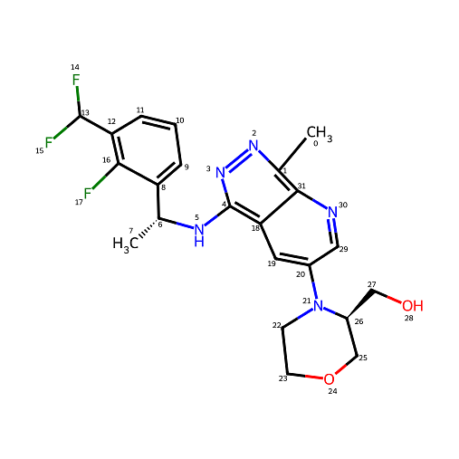 Cc1nnc(N[C@H](C)c2cccc(C(F)F)c2F)c2cc(N3CCOC[C@@H]3CO)cnc12